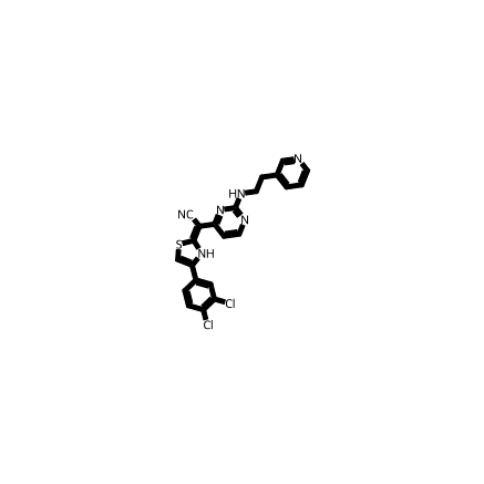 N#C/C(=C1/NC(c2ccc(Cl)c(Cl)c2)=CS1)c1ccnc(NCCc2cccnc2)n1